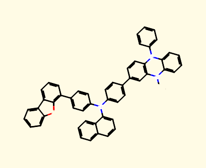 CN1c2ccccc2N(c2ccccc2)c2ccc(-c3ccc(N(c4ccc(-c5cccc6c5oc5ccccc56)cc4)c4cccc5ccccc45)cc3)cc21